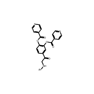 CC(C)NCC(=O)c1ccc(OC(=O)c2ccncc2)c(OC(=O)c2ccncc2)c1